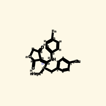 CCCCCCCN(Cc1ccc(C(C)(C)C)cc1)/C(Nc1ccc(F)cc1)=C1/C(=O)COC1=O